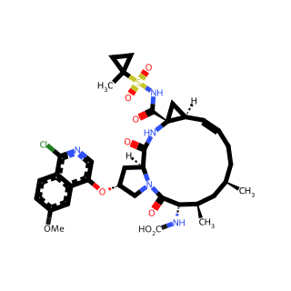 COc1ccc2c(Cl)ncc(O[C@@H]3C[C@H]4C(=O)N[C@]5(C(=O)NS(=O)(=O)C6(C)CC6)C[C@H]5C=CCC[C@@H](C)C[C@@H](C)[C@H](NC(=O)O)C(=O)N4C3)c2c1